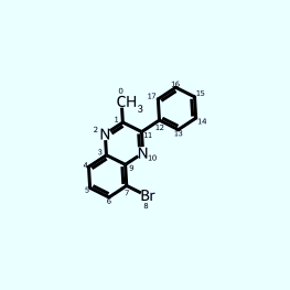 Cc1nc2cccc(Br)c2nc1-c1ccccc1